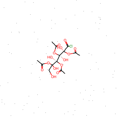 CC(=O)O[C@](O)([C@@](O)(OC(C)=O)[C@](O)(OC(C)=O)C(=O)Cl)[C@](O)(CO)OC(C)=O